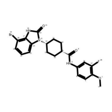 COc1ccc(NC(=O)[C@H]2CC[C@@H](n3c(=O)[nH]c4c(Br)cccc43)CC2)cc1F